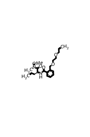 C=CCOCCOCc1ccccc1C(=O)N[C@@H](CC=C)C(=O)N(C)OC